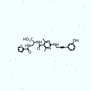 Cc1nc(NCC#Cc2cccc(O)c2)nc(C)c1C(=O)NC(CNC(=O)c1cccs1)C(=O)O